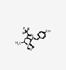 CC1Cc2c(C(F)(F)F)nn(Cc3ccc(O)cc3)c2-c2cncn21